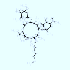 CC[C@H]1OC(=O)[C@H](C)[C@@H](OC2CC(C)(OC)C(O)C(C)O2)[C@H](C)[C@@H](OC2OC(C)CC(N(C)C)C2O)[C@](C)(O)C[C@@H](C)/C(=N/OCOCCOC)[C@H](C)[C@@H](O)[C@]1(C)O